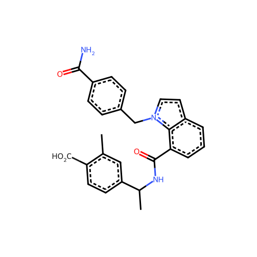 Cc1cc(C(C)NC(=O)c2cccc3ccn(Cc4ccc(C(N)=O)cc4)c23)ccc1C(=O)O